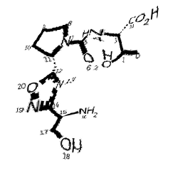 CC(O)[C@H](NC(=O)N1CCC[C@H]1c1nc([C@@H](N)CO)no1)C(=O)O